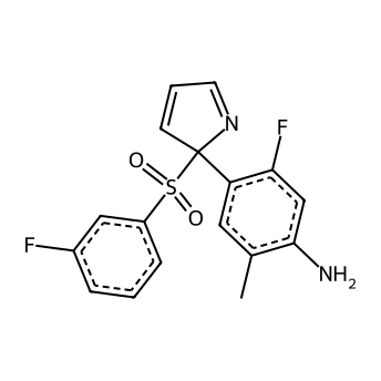 Cc1cc(C2(S(=O)(=O)c3cccc(F)c3)C=CC=N2)c(F)cc1N